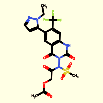 CCn1nccc1-c1cc2c(=O)n(N(C(=O)COC(C)=O)S(C)(=O)=O)c(=O)[nH]c2cc1C(F)(F)F